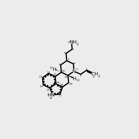 C=CCN1CC(CCN)C[C@@H]2c3cccc4[nH]cc(c34)C[C@H]21